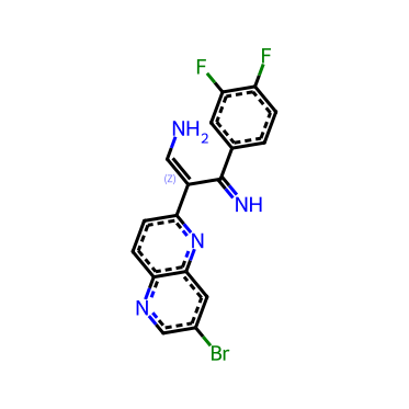 N=C(/C(=C\N)c1ccc2ncc(Br)cc2n1)c1ccc(F)c(F)c1